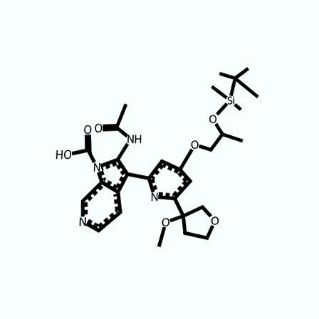 COC1(c2cc(OCC(C)O[Si](C)(C)C(C)(C)C)cc(-c3c(NC(C)=O)n(C(=O)O)c4cnccc34)n2)CCOC1